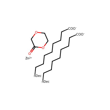 CCCCCCCCCCCCCCCCCC(=O)[O-].CCCCCCCCCCCCCCCCCC(=O)[O-].O=C1COCCO1.[Zn+2]